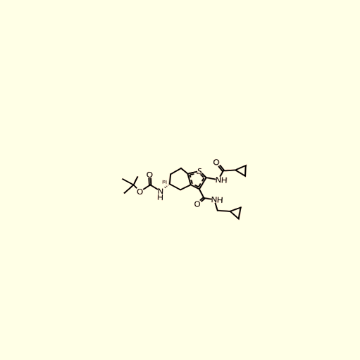 CC(C)(C)OC(=O)N[C@@H]1CCc2sc(NC(=O)C3CC3)c(C(=O)NCC3CC3)c2C1